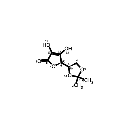 CC1(C)OC[C@H]([C@H]2OC(=O)C(O)=C2O)O1